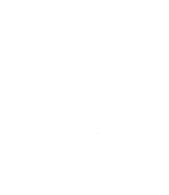 CC(=O)C1=CC2(CCCC1)CCCC2